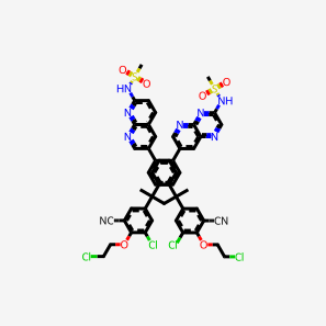 CC(CC(C)(c1ccc(-c2cnc3nc(NS(C)(=O)=O)cnc3c2)cc1)c1cc(Cl)c(OCCCl)c(C#N)c1)(c1ccc(-c2cnc3nc(NS(C)(=O)=O)ccc3c2)cc1)c1cc(Cl)c(OCCCl)c(C#N)c1